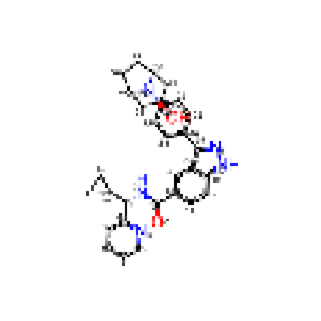 O=C(N[C@H](c1ccccn1)C1CC1)c1ccc2[nH]nc(-c3ccc(N4C5CCC4CC(O)C5)cc3)c2c1